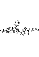 COCCNC(=O)c1cccc(-c2cc3nc(-c4cnc(N)nc4)nc(N4CCOCC4)c3s2)c1